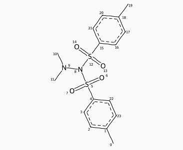 Cc1ccc(S(=O)(=O)N(N(C)C)S(=O)(=O)c2ccc(C)cc2)cc1